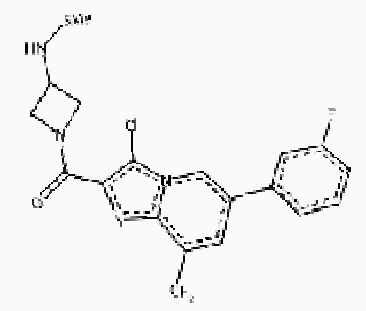 CSNC1CN(C(=O)c2nc3c(C(F)(F)F)cc(-c4cccc(F)c4)cn3c2Cl)C1